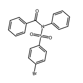 O=C(c1ccccc1)N(c1ccccc1)S(=O)(=O)c1ccc(Br)cc1